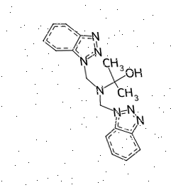 CC(C)(O)N(Cn1nnc2ccccc21)Cn1nnc2ccccc21